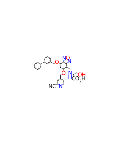 N#Cc1cc(COc2cc(OCc3cccc(-c4ccccc4)c3)c3nonc3c2CNC(CO)C(=O)O)ccn1